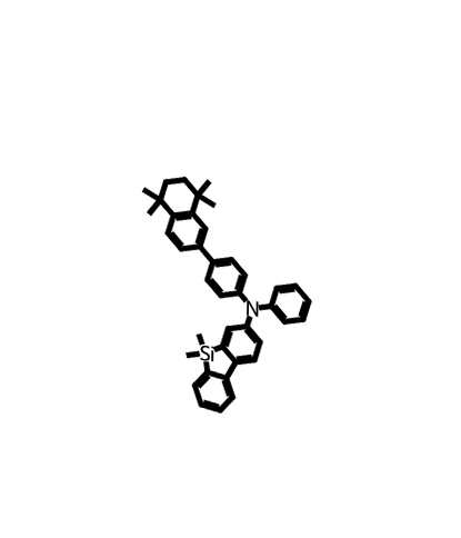 CC1(C)CCC(C)(C)c2cc(-c3ccc(N(c4ccccc4)c4ccc5c(c4)[Si](C)(C)c4ccccc4-5)cc3)ccc21